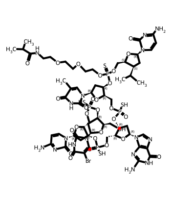 Cc1cn([C@H]2C[C@@H](OP(=S)(OCCOCCOCCNC(=O)C(C)C)OC[C@H]3O[C@@H](n4ccc(N)nc4=O)C[C@H]3C(C)C)[C@@H](COP(=O)(S)O[C@@H]3C[C@H](n4cnc5c(=O)[nH]c(N)nc54)O[C@@H]3COP(=O)(S)O[C@@H]3C[C@H](n4ccc(N)nc4=O)O[C@@H]3COP(=O)(S)O[C@@H]3C[C@H](n4cc(Br)c(=O)[nH]c4=O)O[C@@H]3CO)O2)c(=O)[nH]c1=O